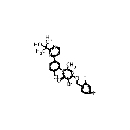 Cc1nc(OCc2ccc(F)cc2F)c(Br)c(=O)n1-c1cc(-c2ccnc(C(C)(C)O)n2)ccc1Cl